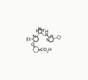 CCc1nc(-c2nnn(C)c2CNc2nccc(C3CCC3)n2)ccc1O[C@H]1CCC[C@H](C(=O)O)C1